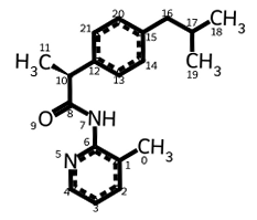 Cc1cccnc1NC(=O)[C@@H](C)c1ccc(CC(C)C)cc1